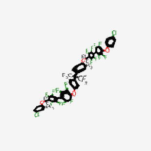 CCC(C)(Oc1ccc(Cl)cc1)c1c(F)c(F)c(-c2c(F)c(F)c(Oc3ccc(C(c4ccc(OC(C)(CC)c5c(F)c(F)c(-c6c(F)c(F)c(Oc7ccc(Cl)cc7)c(F)c6F)c(F)c5F)cc4)(C(F)(F)F)C(F)(F)F)cc3)c(F)c2F)c(F)c1F